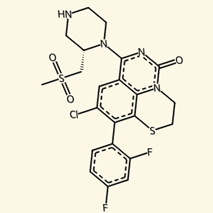 CS(=O)(=O)C[C@@H]1CNCCN1c1nc(=O)n2c3c(c(-c4ccc(F)cc4F)c(Cl)cc13)SCC2